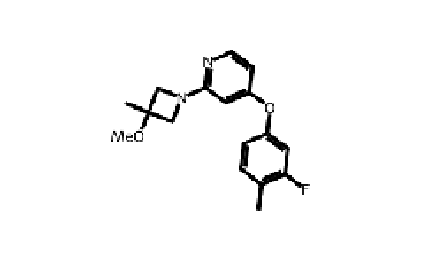 COC1(C)CN(c2cc(Oc3ccc(C)c(F)c3)ccn2)C1